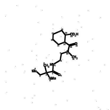 CNC(C)(CC(C)(C)C)C(=O)NCCN(C)C(=O)C1CCCCC1C(=O)O